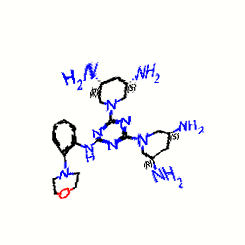 N[C@@H]1C[C@H](N)CN(c2nc(Nc3ccccc3N3CCOCC3)nc(N3C[C@H](N)C[C@H](N)C3)n2)C1